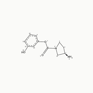 N[C@@H]1CCN(C(=O)Oc2cccc(O)c2)C1